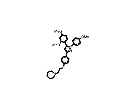 COc1ccc(-n2nc(-c3ccc(OCCN4CCCCC4)cc3)cc2-c2ccc(OC)cc2OC)cc1